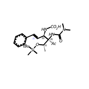 CC(=O)[C@](NC(=O)N(C)C)([C@H](C)O[Si](C)(C)C(C)(C)C)[C@@H](/C=C/c1ccccc1)NC(=O)O